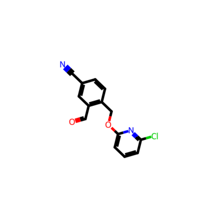 N#Cc1ccc(COc2cccc(Cl)n2)c(C=O)c1